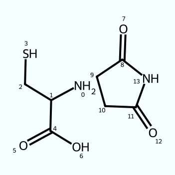 NC(CS)C(=O)O.O=C1CCC(=O)N1